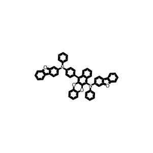 c1ccc(N(c2ccc(-c3c4c(c(N(c5ccccc5)c5ccc6c(c5)oc5ccccc56)c5ccccc35)Oc3ccccc3O4)cc2)c2ccc3c(c2)oc2ccccc23)cc1